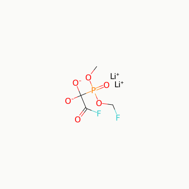 COP(=O)(OCF)C([O-])([O-])C(=O)F.[Li+].[Li+]